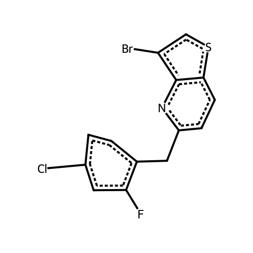 Fc1cc(Cl)ccc1Cc1ccc2scc(Br)c2n1